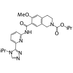 COc1cc2c(cc1C(=O)Nc1cccc(-c3nncn3C(C)C)n1)CN(C(=O)OC(C)C)CC2